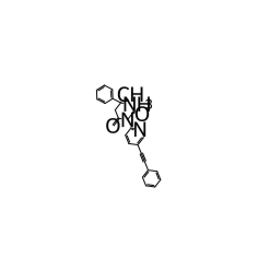 C[C@@]1(c2ccccc2)CC(=O)N(c2ccc(C#Cc3ccccc3)cn2)C(=O)N1